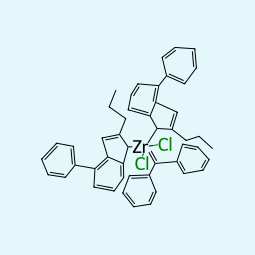 CCCC1=Cc2c(-c3ccccc3)cccc2[CH]1[Zr]([Cl])([Cl])(=[C](c1ccccc1)c1ccccc1)[CH]1C(CCC)=Cc2c(-c3ccccc3)cccc21